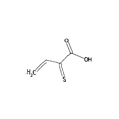 C=CC(=S)C(=O)O